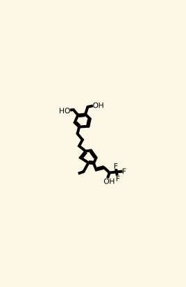 CCc1cc(CCCc2ccc(CO)c(CO)c2)ccc1C=CC(O)C(F)(F)F